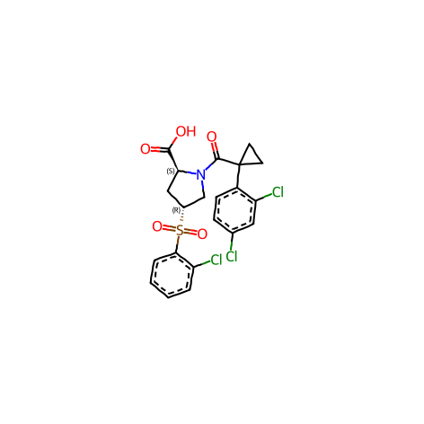 O=C(O)[C@@H]1C[C@@H](S(=O)(=O)c2ccccc2Cl)CN1C(=O)C1(c2ccc(Cl)cc2Cl)CC1